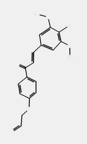 C=CCOc1ccc(C(=O)C=Cc2cc(OCC)c(C(C)(C)C)c(OCC)c2)cc1